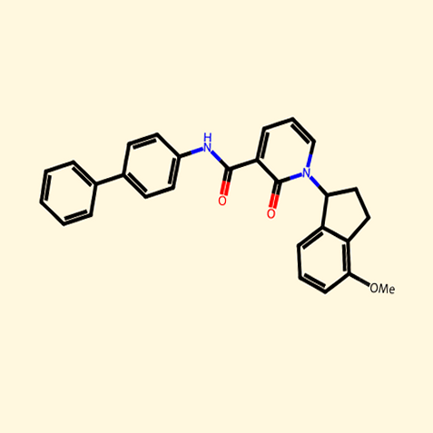 COc1cccc2c1CCC2n1cccc(C(=O)Nc2ccc(-c3ccccc3)cc2)c1=O